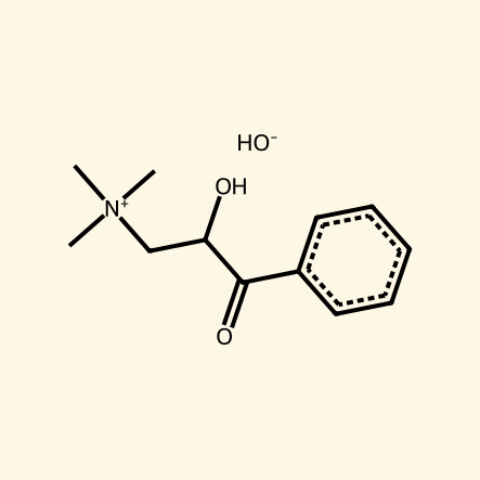 C[N+](C)(C)CC(O)C(=O)c1ccccc1.[OH-]